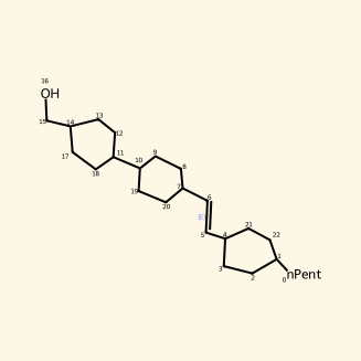 CCCCCC1CCC(/C=C/C2CCC(C3CCC(CO)CC3)CC2)CC1